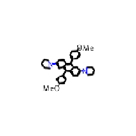 COc1ccc(-c2c3ccc(N4CCCCC4)cc3c(-c3ccc(OC)cc3)c3ccc(N4CCCCC4)cc23)cc1